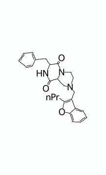 CCCc1oc2ccccc2c1CN1CCN2C(=O)C(Cc3ccccc3)NC(=O)C2C1